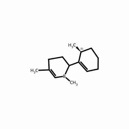 CB1C=C(C)CCC1C1=CCCC[C@@H]1C